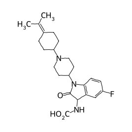 CC(C)=C1CCC(N2CCC(N3C(=O)C(NC(=O)O)c4cc(F)ccc43)CC2)CC1